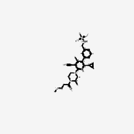 COCCC(=O)N1CCN(c2nc(C3CC3)c(-c3cccc(CNS(C)(=O)=O)c3)c(C)c2C#N)CC1C